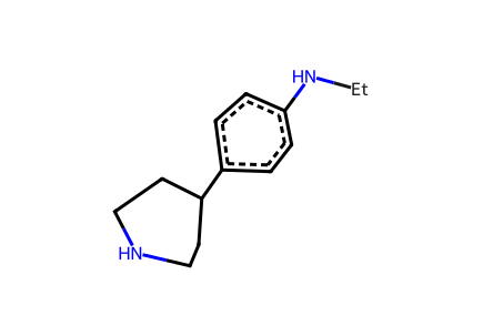 CCNc1ccc(C2CCNCC2)cc1